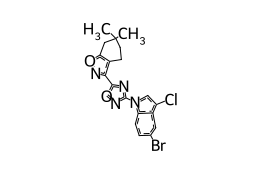 CC1(C)CCc2c(-c3nc(-n4cc(Cl)c5cc(Br)ccc54)no3)noc2C1